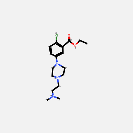 CCOC(=O)c1cc(N2CCN(CCN(C)C)CC2)ccc1Cl